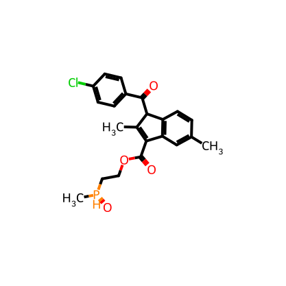 CC1=C(C(=O)OCC[PH](C)=O)c2cc(C)ccc2C1C(=O)c1ccc(Cl)cc1